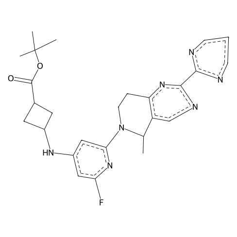 CC1c2cnc(-c3ncccn3)nc2CCN1c1cc(NC2CC(C(=O)OC(C)(C)C)C2)cc(F)n1